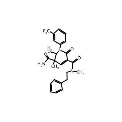 CC1N(c2cccc(C(F)(F)F)c2)C(=O)C(C(=O)N(C)CCc2ccccc2)=CC1(C)C(N)=O